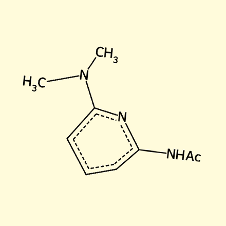 CC(=O)Nc1cccc(N(C)C)n1